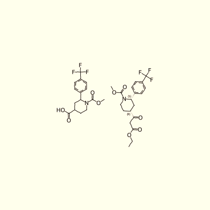 CCOC(=O)CC(=O)[C@@H]1CCN(C(=O)OC)[C@H](c2ccc(C(F)(F)F)cc2)C1.COC(=O)N1CCC(C(=O)O)CC1c1ccc(C(F)(F)F)cc1